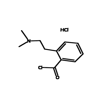 CN(C)CCc1ccccc1C(=O)Cl.Cl